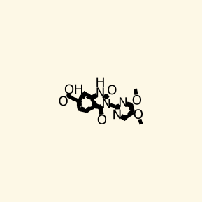 COc1cnc(-n2c(=O)[nH]c3cc(C(=O)O)ccc3c2=O)nc1OC